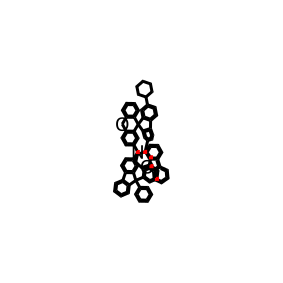 c1ccc(C2(c3ccccc3)c3ccccc3-c3ccc(N(c4ccc5c(c4)C4(c6ccccc6O5)c5cc(C6CCCCC6)ccc5-c5ccc(C6CCCCC6)cc54)c4cccc5c4oc4ccccc45)cc32)cc1